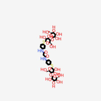 O=C(CC(=O)Nc1ccc(S[C@@H]2O[C@H](CO)[C@@H](O[C@@H]3O[C@H](CO)[C@@H](O)[C@H](O)[C@H]3O)[C@H](O)[C@H]2O)cc1)Nc1ccc(S[C@@H]2O[C@H](CO)[C@@H](O[C@@H]3O[C@H](CO)[C@@H](O)[C@H](O)[C@H]3O)[C@H](O)[C@H]2O)cc1